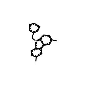 Ic1ccc2c(c1)c1cc(I)ccc1n2Cc1ccccc1